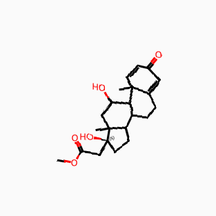 COC(=O)C[C@@]1(O)CCC2C3CCC4=CC(=O)C=CC4(C)C3C(O)CC21C